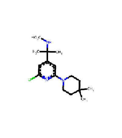 CC1(C)CCN(c2cc(C(C)(C)NC(=O)O)cc(Cl)n2)CC1